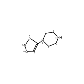 C1=C(N2CCNCC2)S[N]O1